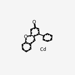 O=c1cc2oc3ccccc3cc-2c(-c2ccccc2)c1.[Cd]